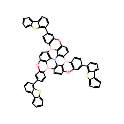 c1ccc2c(c1)sc1c(-c3ccc4c(c3)Oc3ccc5c6c3B4c3ccc4c7c3N6c3c(ccc6c3B5c3ccc(-c5cccc8c5sc5ccccc58)cc3O6)B7c3ccc(-c5cccc6c5sc5ccccc56)cc3O4)cccc12